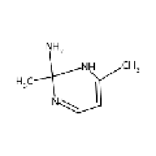 CC1=CC=NC(C)(N)N1